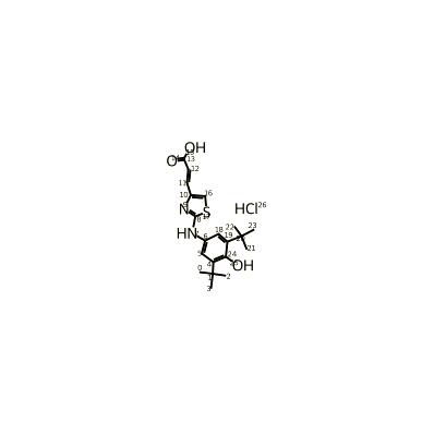 CC(C)(C)c1cc(Nc2nc(C=CC(=O)O)cs2)cc(C(C)(C)C)c1O.Cl